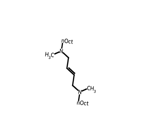 CCCCCCCCN(C)CC=CCN(C)CCCCCCCC